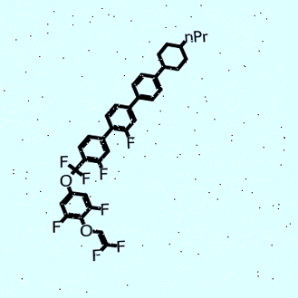 CCCC1CCC(c2ccc(-c3ccc(-c4ccc(C(F)(F)Oc5cc(F)c(OC=C(F)F)c(F)c5)c(F)c4)c(F)c3)cc2)CC1